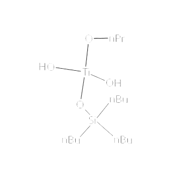 CCCC[Si](CCCC)(CCCC)[O][Ti]([OH])([OH])[O]CCC